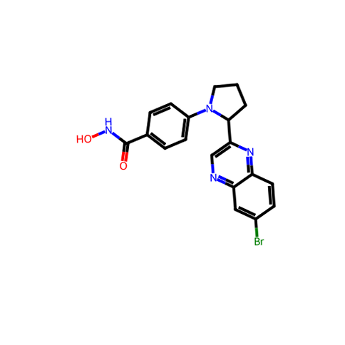 O=C(NO)c1ccc(N2CCCC2c2cnc3cc(Br)ccc3n2)cc1